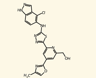 Cc1coc(-c2cc(CO)nc(-c3nnc(Nc4ccc5[nH]ncc5c4Cl)s3)c2)n1